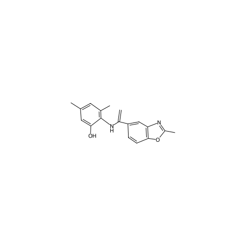 C=C(Nc1c(C)cc(C)cc1O)c1ccc2oc(C)nc2c1